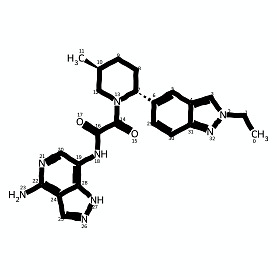 CCn1cc2cc([C@H]3CC[C@H](C)CN3C(=O)C(=O)Nc3cnc(N)c4cn[nH]c34)ccc2n1